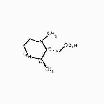 C[C@H]1NCCN(C)[C@@H]1CC(=O)O